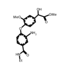 CCNC(=O)c1ccc(Oc2ccc(C(O)C(=O)OC)cc2OC)c(N)c1